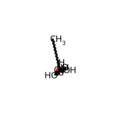 CCCCCCCCCCCCCCCCCCNC(=O)C1(c2ccc(O)cc2)N[C@H](C(=O)O)CS1